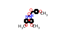 COc1ccc(/N=c2/oc(C(=O)c3ccc(OC)cc3)nn2-c2ccc(OC)cc2)cc1